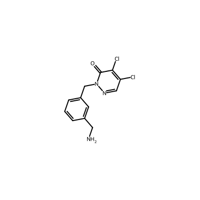 NCc1cccc(Cn2ncc(Cl)c(Cl)c2=O)c1